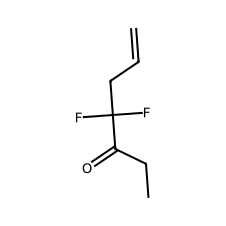 C=CCC(F)(F)C(=O)CC